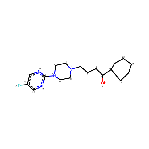 OC(CCCN1CCN(c2ncc(F)cn2)CC1)C1CCCCC1